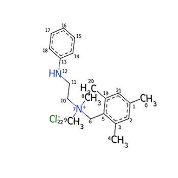 Cc1cc(C)c(C[N+](C)(C)CCNc2ccccc2)c(C)c1.[Cl-]